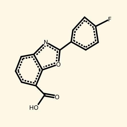 O=C(O)c1cccc2nc(-c3ccc(F)cc3)oc12